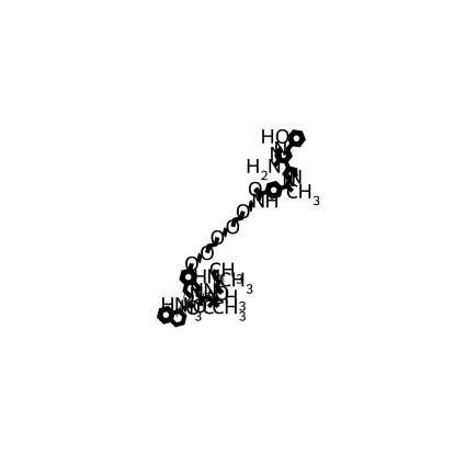 CN[C@@H](C)C(=O)N[C@H](C(=O)N1Cc2cc(OCCOCCOCCOCCOCCNC(=O)c3ccc(C(C)n4cc(-c5cc(-c6ccccc6O)nnc5N)cn4)cc3)ccc2C[C@H]1C(=O)N[C@@H]1CCCc2ccccc21)C(C)(C)C